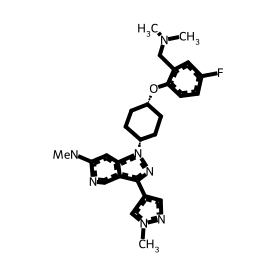 CNc1cc2c(cn1)c(-c1cnn(C)c1)nn2[C@H]1CC[C@@H](Oc2ccc(F)cc2CN(C)C)CC1